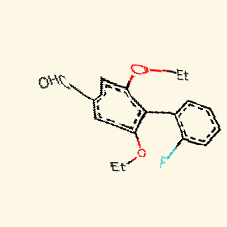 CCOc1cc(C=O)cc(OCC)c1-c1ccccc1F